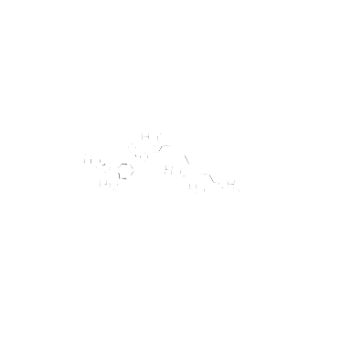 COc1cc(C(=O)OC/C=C(\C)CC/C=C(\C)CCC=C(C)C)ccc1O